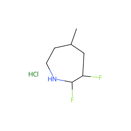 CC1CCNC(F)C(F)C1.Cl